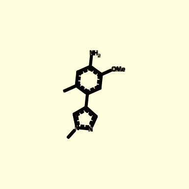 COc1cc(-c2cnn(C)c2)c(C)cc1N